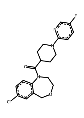 O=C(C1CCN(c2ccc(F)cn2)CC1)N1CCOCc2cc(Cl)ccc21